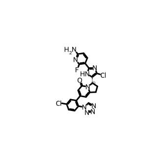 Nc1ccc(-c2nc(Cl)c([C@@H]3CCc4cc(-c5cc(Cl)ccc5-n5cnnn5)cc(=O)n43)[nH]2)c(F)n1